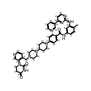 Cc1ccc(NC(=O)c2ccc(N3CCC(N4CCN(Cc5ccncc5N5CCC(=O)NC5=O)CC4)CC3)cc2)cc1Nc1nccc(-c2cccnc2)n1